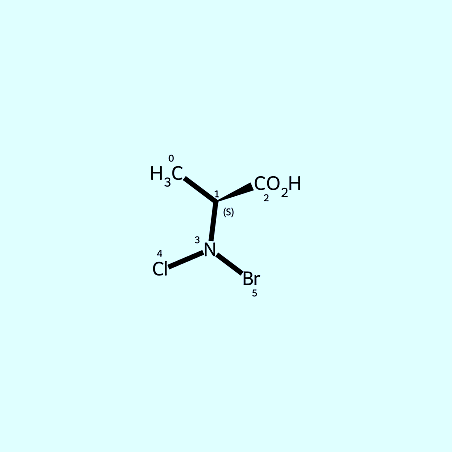 C[C@@H](C(=O)O)N(Cl)Br